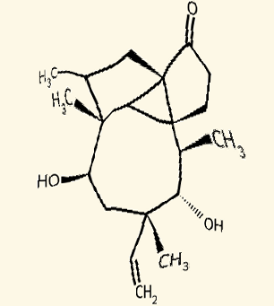 C=C[C@]1(C)C[C@@H](O)[C@]2(C)C(C)C[C@@]34C(=O)CC[C@]3(C24)[C@@H](C)[C@@H]1O